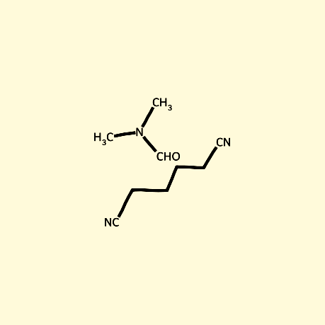 CN(C)C=O.N#CCCCCC#N